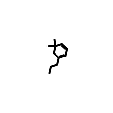 [CH2]C1(C)C=CC=C(CCC)C1